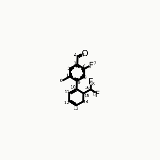 Cc1cc(C=O)c(F)cc1C1=CC=CCC1C(F)F